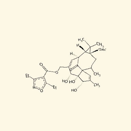 CCc1noc(CC)c1C(=O)OCC1=C[C@@H]2C(=O)C3(C=C(C)[C@H](O)[C@@]3(O)[C@@H]1O)C(C)C[C@]1(OC(C)=O)[C@H]2C1(C)C